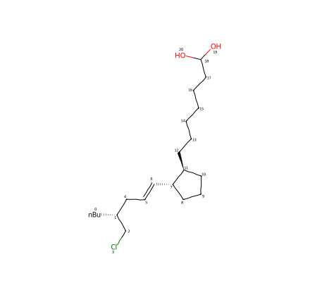 CCCC[C@@H](CCl)CC=C[C@H]1CCC[C@@H]1CCCCCCC(O)O